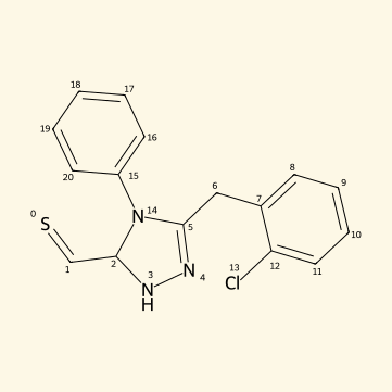 S=CC1NN=C(Cc2ccccc2Cl)N1c1ccccc1